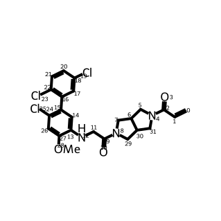 C=CC(=O)N1CC2CN(C(=O)CNc3cc(-c4cc(Cl)ccc4Cl)c(Cl)cc3OC)CC2C1